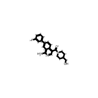 Nc1ncc(C(=O)N2CCC(CO)CC2)c2ccc(-c3cccc(F)c3)cc12